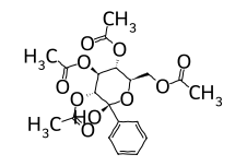 CC(=O)OC[C@H]1O[C@](O)(c2ccccc2)[C@H](OC(C)=O)[C@@H](OC(C)=O)[C@@H]1OC(C)=O